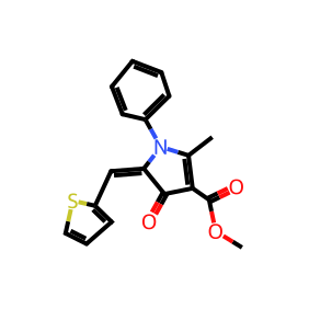 COC(=O)C1=C(C)N(c2ccccc2)/C(=C/c2cccs2)C1=O